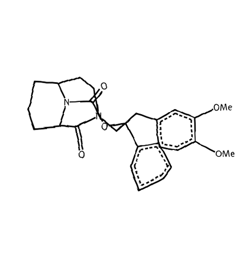 COc1ccc(CCN2CCC3CCCC(C2=O)N3C(=O)OCc2ccccc2)cc1OC